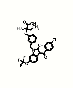 CCC(C)(Oc1cccc(CN2c3cc(OC(F)(F)F)ccc3C(C(=O)c3ccc(Cl)cc3)C2C)c1)C(=O)O